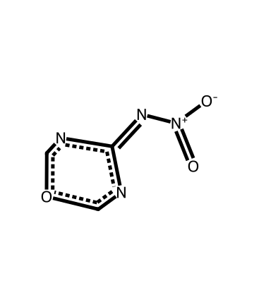 O=[N+]([O-])N=c1ncocn1